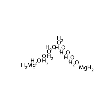 O.O.O.O.O.O.O.O.O.[MgH2].[MgH2]